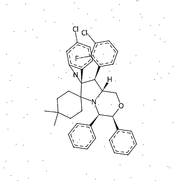 CC1(C)CCC2(CC1)N1[C@H](c3ccccc3)[C@H](c3ccccc3)OC[C@H]1[C@H](c1cccc(Cl)c1F)[C@@]21C=Nc2cc(Cl)ccc21